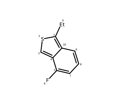 [CH2]Cc1scc2c(F)cccc12